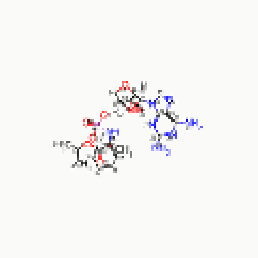 CC(C)OC(=O)[C@@H](C)N[P@](=O)(OC[C@@]12CO[C@@H](C(n3cnc4c(N)nc(N)nc43)O1)[C@@H]2O)Oc1ccccc1